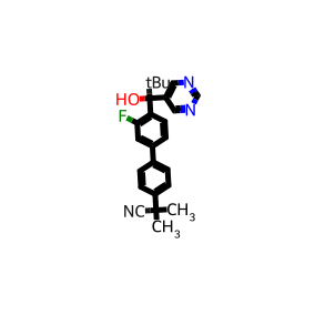 CC(C)(C#N)c1ccc(-c2ccc(C(O)(c3cncnc3)C(C)(C)C)c(F)c2)cc1